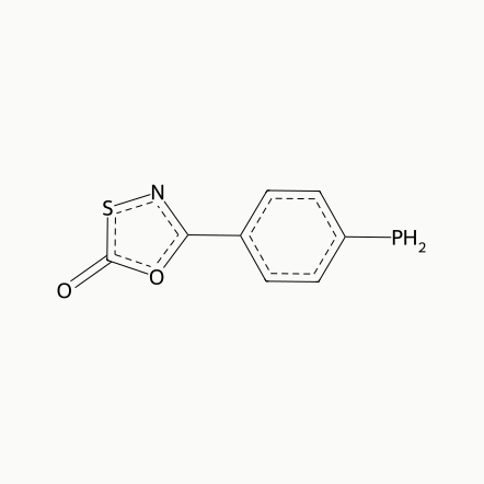 O=c1oc(-c2ccc(P)cc2)ns1